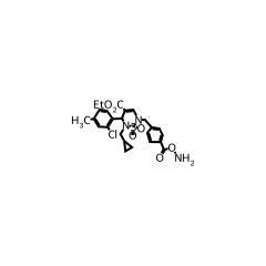 CCOC(=O)C1=CN(Cc2ccc(C(=O)ON)cc2)S(=O)(=O)N(CC2CC2)C1c1ccc(C)cc1Cl